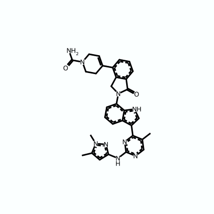 Cc1cnc(Nc2cc(C)n(C)n2)nc1-c1c[nH]c2c(N3Cc4c(cccc4C4=CCN(C(N)=O)CC4)C3=O)cccc12